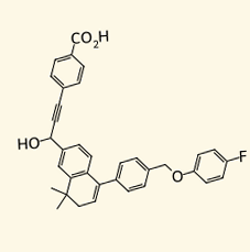 CC1(C)CC=C(c2ccc(COc3ccc(F)cc3)cc2)c2ccc(C(O)C#Cc3ccc(C(=O)O)cc3)cc21